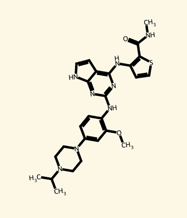 CNC(=O)c1sccc1Nc1nc(Nc2ccc(N3CCN(C(C)C)CC3)cc2OC)nc2[nH]ccc12